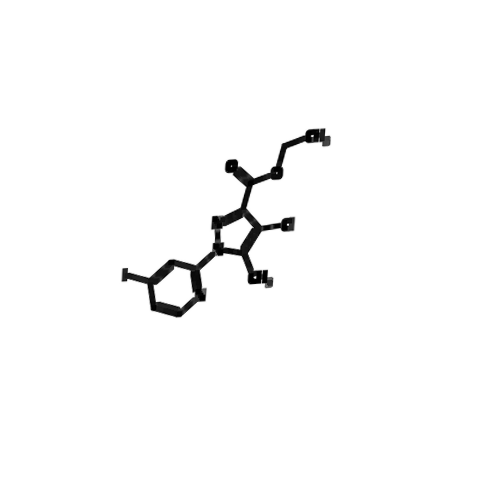 CCOC(=O)c1nn(-c2cc(I)ccn2)c(C)c1Cl